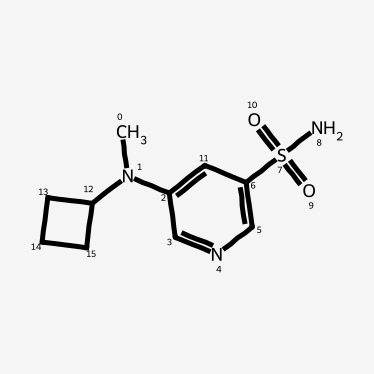 CN(c1cncc(S(N)(=O)=O)c1)C1CCC1